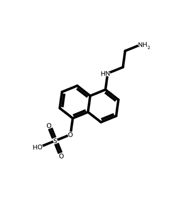 NCCNc1cccc2c(OS(=O)(=O)O)cccc12